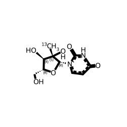 [13CH3][C@]1(O)[C@H](O)[C@@H](CO)O[C@H]1n1ccc(=O)[nH]c1=O